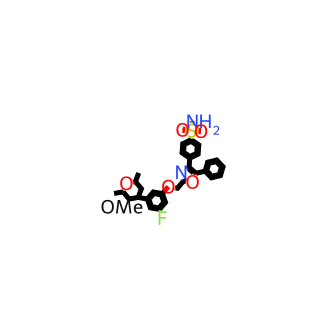 COC1(c2cc(F)cc(OCc3nc(-c4ccc(S(N)(=O)=O)cc4)c(-c4ccccc4)o3)c2)CC(C)OC(C)C1